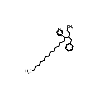 CCCCCCCCCCCCCCC(C(CCC)Cc1ccccc1)n1ccnc1